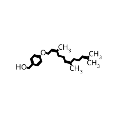 CC(C)=CCCC(C)=CCCC(C)=CCOc1ccc(CO)cc1